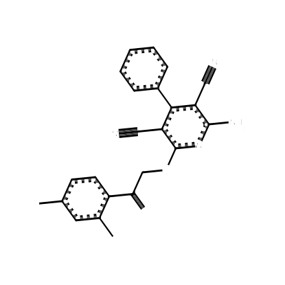 Cc1ccc(C(=O)CSc2nc(N)c(C#N)c(-c3ccccc3)c2C#N)c(C)c1